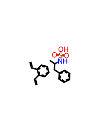 C=Cc1ccccc1C=C.CC(Cc1ccccc1)NS(=O)(=O)O